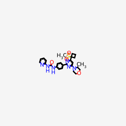 C[C@H]1COCCN1c1cc(C2(S(C)(=O)=O)CCC2)nc(-c2ccc(NC(=O)Nc3ccccn3)cc2)n1